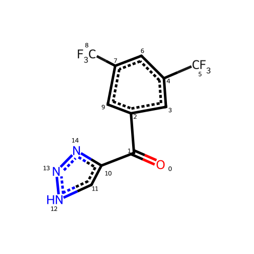 O=C(c1cc(C(F)(F)F)cc(C(F)(F)F)c1)c1c[nH]nn1